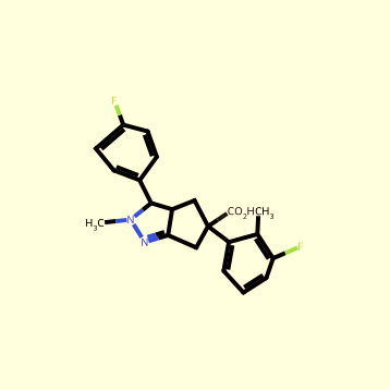 Cc1c(F)cccc1C1(C(=O)O)CC2=NN(C)C(c3ccc(F)cc3)C2C1